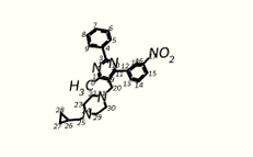 Cc1nc(-c2ccccc2)nc(-c2cccc([N+](=O)[O-])c2)c1CN1CCN(CC2CC2)CC1